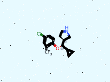 FC(F)(F)c1cc(Cl)ccc1O[C@@H](C1CC1)[C@H]1CCNC1